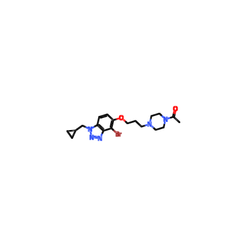 CC(=O)N1CCN(CCCOc2ccc3c(nnn3CC3CC3)c2Br)CC1